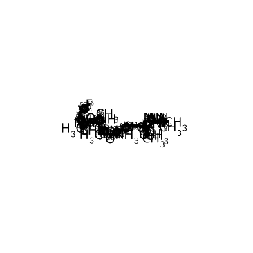 Cc1n[nH]c(Nc2ncnc3cc(OCCCN4CCN(c5cnc(C(=O)N6CCN(C[C@H]7CN[C@H](C)CN7CC(=O)N7CC(C)(C)c8ncc(Cc9ccc(F)cc9)cc87)C(C)C6)cn5)CC4)c(S(=O)(=O)C(C)(C)C)cc23)c1C